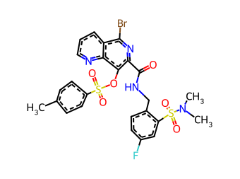 Cc1ccc(S(=O)(=O)Oc2c(C(=O)NCc3ccc(F)cc3S(=O)(=O)N(C)C)nc(Br)c3cccnc23)cc1